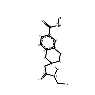 CC(C)CN1C[C@]2(CCc3cc(C(=O)NO)ccc3C2)CC1=O